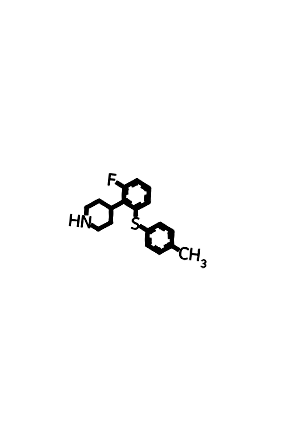 Cc1ccc(Sc2cccc(F)c2C2CCNCC2)cc1